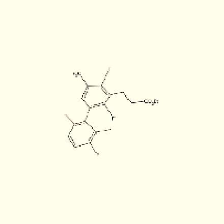 CCOC(=O)CCc1c(F)c(-c2c(C)ccc(F)c2C)cc(C(F)(F)F)c1F